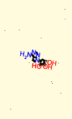 Nc1ncnc2c1ccn2[C@@H]1C[C@H](CO)[C@@H](O)[C@H]1O